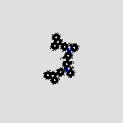 Cc1cc(N(c2ccc(-c3cc4ccccc4c4ccccc34)cc2)c2ccccc2C)ccc1-c1ccc(N(c2ccc(-c3cc4ccccc4c4ccccc34)cc2)c2ccccc2C)cc1C